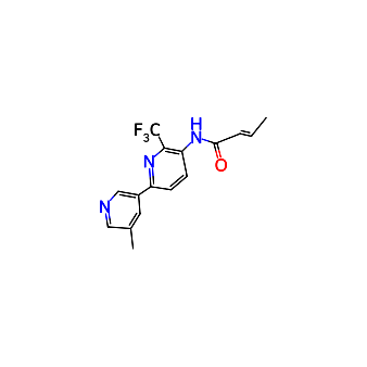 C/C=C/C(=O)Nc1ccc(-c2cncc(C)c2)nc1C(F)(F)F